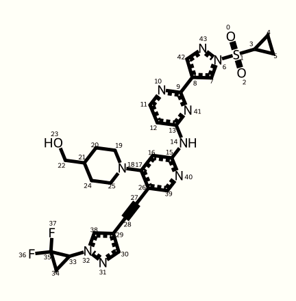 O=S(=O)(C1CC1)n1cc(-c2nccc(Nc3cc(N4CCC(CO)CC4)c(C#Cc4cnn(C5CC5(F)F)c4)cn3)n2)cn1